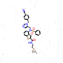 CSCCNC(=O)c1cc2c(N(Cc3cncn3Cc3ccc(C#N)cc3)S(=O)(=O)c3ccccc3)cccc2s1